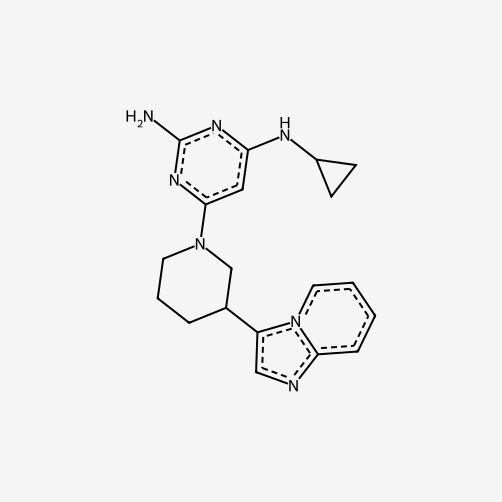 Nc1nc(NC2CC2)cc(N2CCCC(c3cnc4ccccn34)C2)n1